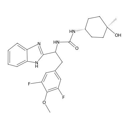 COc1c(F)cc(CC(NC(=O)N[C@H]2CC[C@](C)(O)CC2)c2nc3ccccc3[nH]2)cc1F